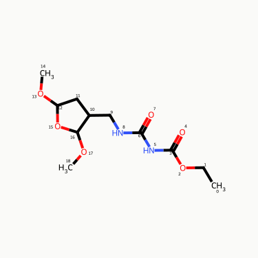 CCOC(=O)NC(=O)NCC1CC(OC)OC1OC